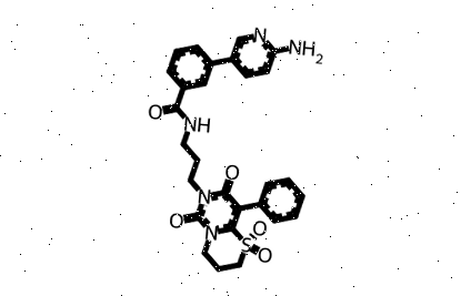 Nc1ccc(-c2cccc(C(=O)NCCCn3c(=O)c(-c4ccccc4)c4n(c3=O)CCCS4(=O)=O)c2)cn1